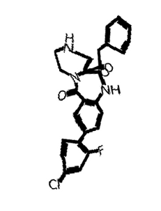 O=C1c2cc(-c3ccc(Cl)cc3F)ccc2NC(=O)C2(C(=O)Cc3ccccc3)CNCCN12